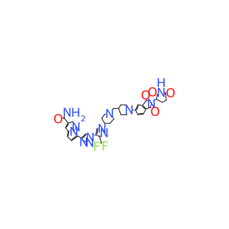 NC(=O)c1cnn2c(-c3cn(-c4cn(C5CCN(CC6CCN(c7ccc8c(c7)C(=O)N(C7CCC(=O)NC7=O)C8=O)CC6)CC5)nc4C(F)F)nn3)ccc2c1